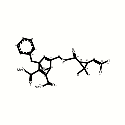 COC(=O)C1=C(C(=O)OC)C2(Cc3ccccc3)C=C(COC(=O)C3C(C=C(Cl)Cl)C3(C)C)C1O2